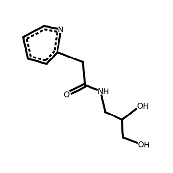 O=C(Cc1ccccn1)NCC(O)CO